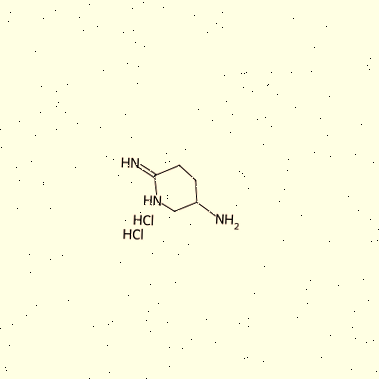 Cl.Cl.N=C1CCC(N)CN1